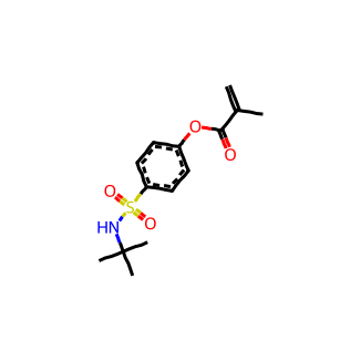 C=C(C)C(=O)Oc1ccc(S(=O)(=O)NC(C)(C)C)cc1